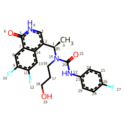 C[C@H](c1c[nH]c(=O)c2cc(F)c(F)cc12)N(CCCO)C(=O)Nc1ccc(F)cc1